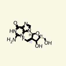 Nc1nc2c(ncn2[C@@H]2O[C@H](CO)C(O)/C2=C/F)c(=O)[nH]1